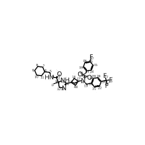 C[C@]1(C(=O)NCC2CCCCC2)CN=C(C23CC(N(Cc4ccc(C(F)(F)F)cc4)S(=O)(=O)c4ccc(F)cc4)(C2)C3)N1